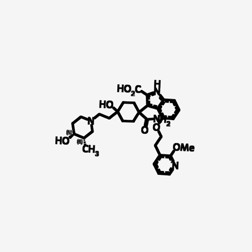 COc1ncccc1CCOc1cccc2[nH]c(C(=O)O)c(C3(C(N)=O)CCC(O)(CCN4CC[C@H](O)[C@@H](C)C4)CC3)c12